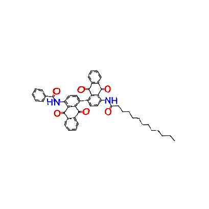 CCCCCCCCCCCCC(=O)Nc1ccc(-c2ccc(NC(=O)c3ccccc3)c3c2C(=O)c2ccccc2C3=O)c2c1C(=O)c1ccccc1C2=O